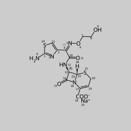 Nc1nc(/C(=N/OCCO)C(=O)N[C@@H]2C(=O)N3C(C(=O)[O-])=CCS[C@@H]23)cs1.[Na+]